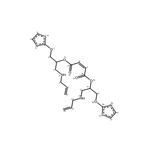 C=CCNCC(COc1nccs1)OC(=O)/C=C\C(=O)OC(CNCC=C)COc1nccs1